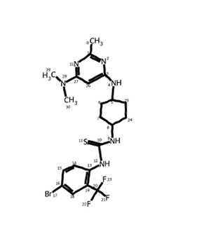 Cc1nc(NC2CCC(NC(=S)Nc3ccc(Br)cc3C(F)(F)F)CC2)cc(N(C)C)n1